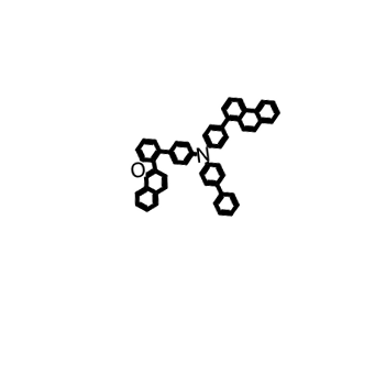 c1ccc(-c2ccc(N(c3ccc(-c4cccc5c4ccc4ccccc45)cc3)c3ccc(-c4cccc5oc6c7ccccc7ccc6c45)cc3)cc2)cc1